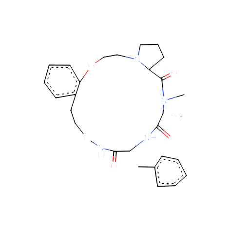 CN1C(=O)C2CCCN2CCOc2ccccc2CCCNC(=O)[C@@H](Cc2ccccc2)NC(=O)[C@H]1I